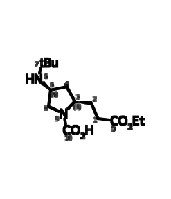 CCOC(=O)CC[C@@H]1C[C@H](NC(C)(C)C)CN1C(=O)O